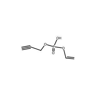 C#CCOP(=O)(O)OC=C